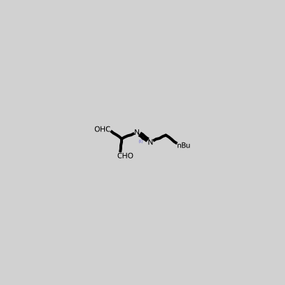 CCCCC/N=N/C(C=O)C=O